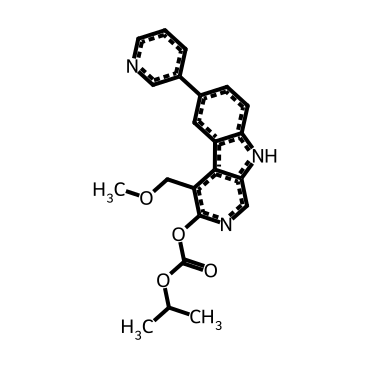 COCc1c(OC(=O)OC(C)C)ncc2[nH]c3ccc(-c4cccnc4)cc3c12